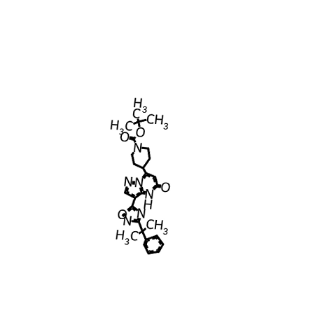 CC(C)(C)OC(=O)N1CCC(c2cc(=O)[nH]c3c(-c4nc(C(C)(C)c5ccccc5)no4)cnn23)CC1